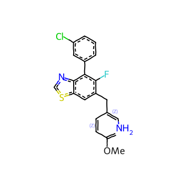 C=C(/C=C\C(=C/N)Cc1cc2scnc2c(-c2cccc(Cl)c2)c1F)OC